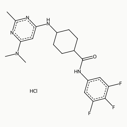 Cc1nc(NC2CCC(C(=O)Nc3cc(F)c(F)c(F)c3)CC2)cc(N(C)C)n1.Cl